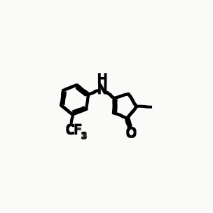 CC1CC(Nc2cccc(C(F)(F)F)c2)=CC1=O